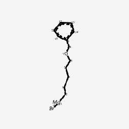 [Br][Mg][CH2]CCC[CH]OCc1ccccc1